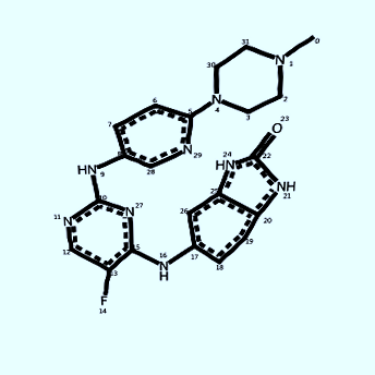 CN1CCN(c2ccc(Nc3ncc(F)c(Nc4ccc5[nH]c(=O)[nH]c5c4)n3)cn2)CC1